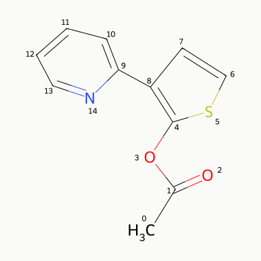 CC(=O)Oc1sccc1-c1ccccn1